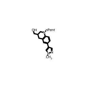 CCCCCN1CC(CO)Cc2cc(-c3cnn(C)c3)ccc21